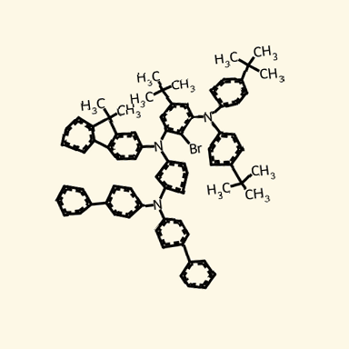 CC(C)(C)c1ccc(N(c2ccc(C(C)(C)C)cc2)c2cc(C(C)(C)C)cc(N(c3cccc(N(c4ccc(-c5ccccc5)cc4)c4ccc(-c5ccccc5)cc4)c3)c3ccc4c(c3)C(C)(C)c3ccccc3-4)c2Br)cc1